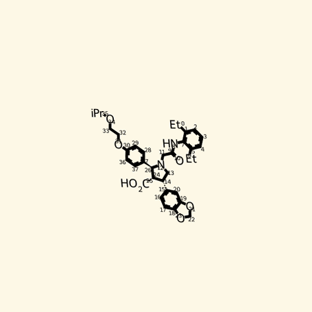 CCc1cccc(CC)c1NC(=O)CN1C[C@H](c2ccc3c(c2)OCO3)[C@H](C(=O)O)[C@H]1c1ccc(OCCOC(C)C)cc1